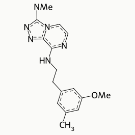 CNc1nnc2c(NCCc3cc(C)cc(OC)c3)nccn12